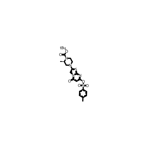 Cc1ccc(S(=O)(=O)Oc2cc(=O)n3cc(N4CCN(C(=O)OC(C)(C)C)[C@H](C)C4)sc3n2)cc1